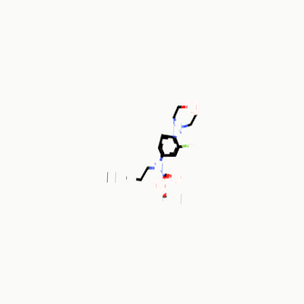 CCCN(C(=O)OC)c1ccc(N2CCOCC2)c(F)c1